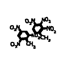 Cc1c([N+](=O)[O-])cc([N+](=O)[O-])cc1[N+](=O)[O-].Cc1ccc([N+](=O)[O-])c([N+](=O)[O-])c1[N+](=O)[O-]